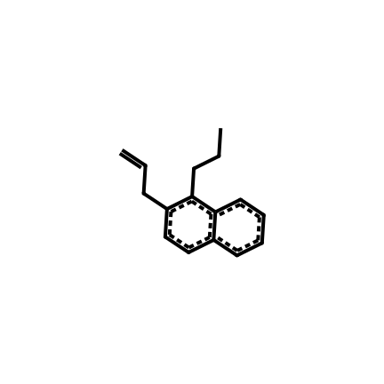 C=CCc1ccc2ccccc2c1CCC